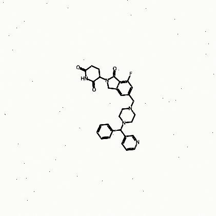 O=C1CCC(N2Cc3cc(CN4CCN(C(c5ccccc5)c5cccnc5)CC4)cc(F)c3C2=O)C(=O)N1